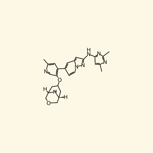 Cc1cc(-c2ccn3nc(Nc4cc(C)nc(C)n4)cc3c2)c(OC2C[C@H]3COC[C@@H](C2)N3C)cn1